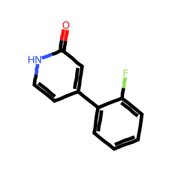 O=c1cc(-c2ccccc2F)cc[nH]1